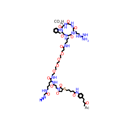 CC(=O)CC(=O)CCc1ccc(NC(=O)CCCCSC2CC(=O)N(CCC(=O)NC(CCCCNC(=O)CN=[N+]=[N-])C(=O)NCCOCCOCCOCCOCCC(=O)NCCCC[C@@H]3NC(=O)[C@@H](Cc4ccccc4)NC(=O)[C@H](CC(=O)O)NC(=O)CNC(=O)[C@H](CCCNC(=N)N)NC3=O)C2=O)cc1